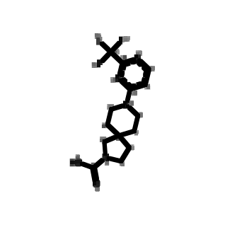 O=C(O)N1CCC2(CCN(c3ccnc(C(F)(F)F)n3)CC2)C1